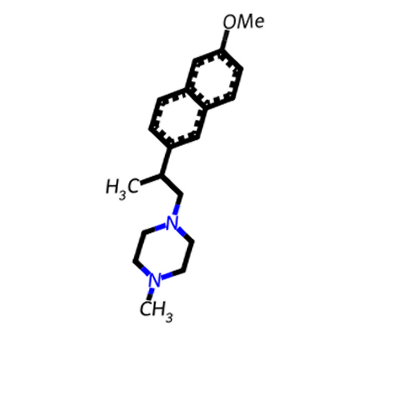 COc1ccc2cc(C(C)CN3CCN(C)CC3)ccc2c1